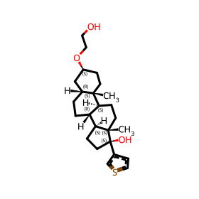 C[C@]12CC[C@H](OCCO)C[C@H]1CC[C@@H]1[C@@H]2CC[C@@]2(C)[C@H]1CC[C@@]2(O)c1ccsc1